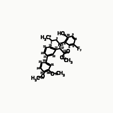 CCCN(c1cc(F)ccc1O)C(C(=O)OC)c1cccc(-c2ccc(OC)c(OC)c2)c1